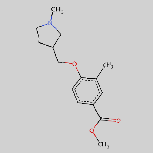 COC(=O)c1ccc(OCC2CCN(C)C2)c(C)c1